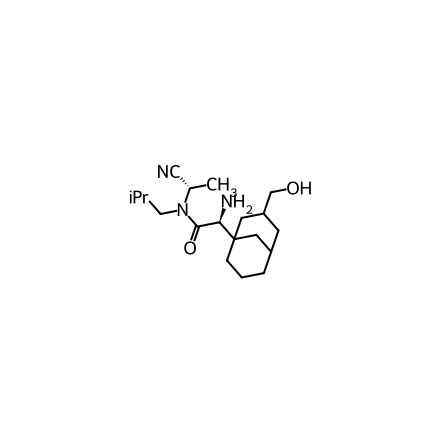 CC(C)CN(C(=O)[C@@H](N)C12CCCC(CC(CO)C1)C2)[C@@H](C)C#N